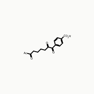 CC(=O)C(=O)CCCCC(=O)C(=O)c1ccc(C(=O)O)cc1